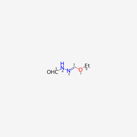 CCOC=NNC=O